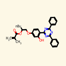 C=C(C)C(=O)OC(CCCC)COc1ccc(-c2nc(-c3ccccc3)nc(-c3ccccc3)n2)c(O)c1